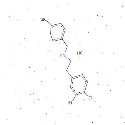 CCc1cc(CCNCc2ccc(C(C)(C)C)cc2)ccc1Cl.Cl